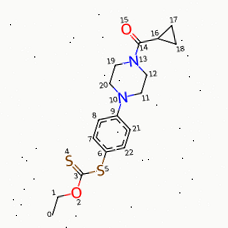 CCOC(=S)Sc1ccc(N2CCN(C(=O)C3CC3)CC2)cc1